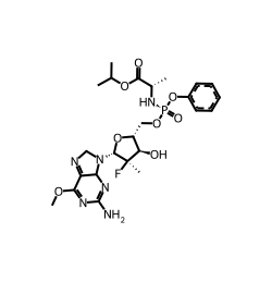 COC1=NC(N)=NC2C1=NCN2[C@@H]1O[C@H](CO[P@@](=O)(N[C@@H](C)C(=O)OC(C)C)Oc2ccccc2)[C@@H](O)[C@@]1(C)F